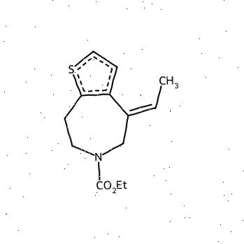 C/C=C1/CN(C(=O)OCC)CCc2sccc21